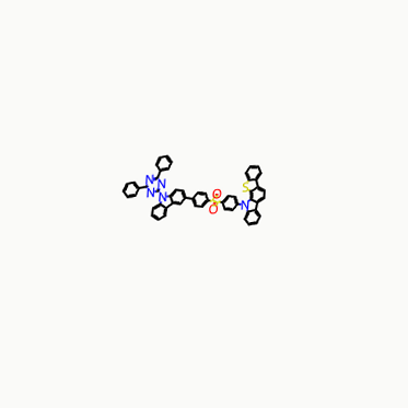 O=S(=O)(c1ccc(-c2ccc3c(c2)c2ccccc2n3-c2nc(-c3ccccc3)nc(-c3ccccc3)n2)cc1)c1ccc(-n2c3ccccc3c3ccc4c5ccccc5sc4c32)cc1